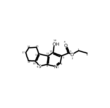 CCOC(=O)c1cnc2sc3c(c2c1O)CCCC3